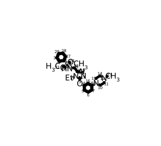 CCn1c(Oc2cccc(N3CCN(C)CC3)c2)nnc1[C@@H](C)NS(=O)(=O)c1ccccc1C